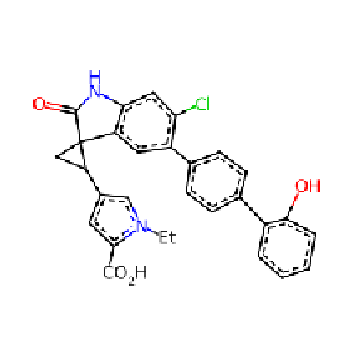 CCn1cc(C2CC23C(=O)Nc2cc(Cl)c(-c4ccc(-c5ccccc5O)cc4)cc23)cc1C(=O)O